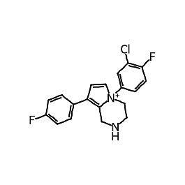 Fc1ccc(C2=C3CNCC[N+]3(c3ccc(F)c(Cl)c3)C=C2)cc1